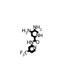 NC1CNC(C(=O)Nc2cc(C(F)(F)F)ccn2)CC1N